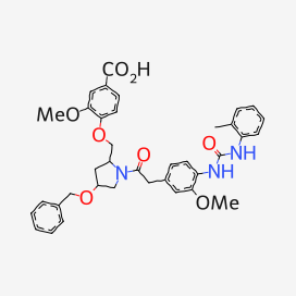 COc1cc(CC(=O)N2CC(OCc3ccccc3)CC2COc2ccc(C(=O)O)cc2OC)ccc1NC(=O)Nc1ccccc1C